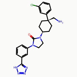 NC[C@]1(c2cccc(Cl)c2)CC[C@H](N2CCN(c3cccc(-c4nnn[nH]4)c3)C2=O)CC1